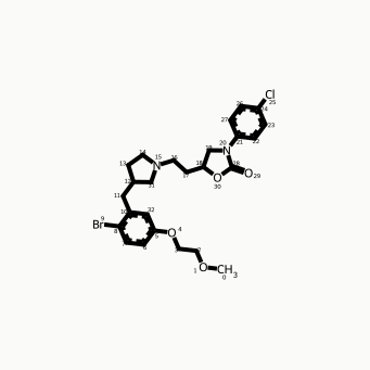 COCCOc1ccc(Br)c(CC2CCN(CCC3CN(c4ccc(Cl)cc4)C(=O)O3)C2)c1